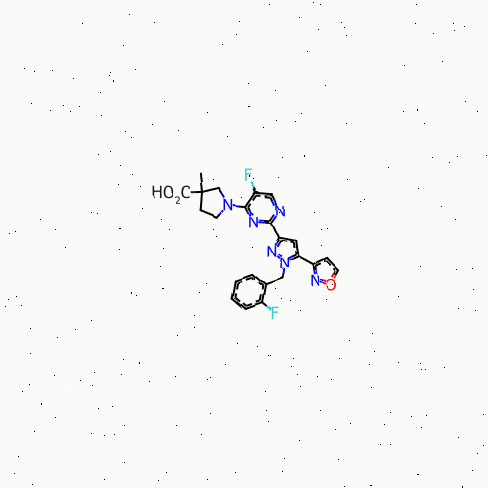 CC1(C(=O)O)CCN(c2nc(-c3cc(-c4ccon4)n(Cc4ccccc4F)n3)ncc2F)C1